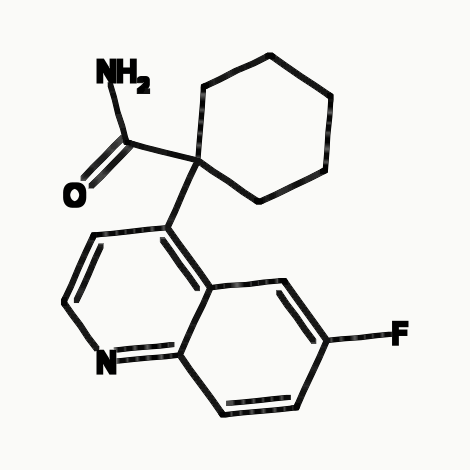 NC(=O)C1(c2ccnc3ccc(F)cc23)CCCCC1